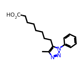 Cc1nnn(-c2ccccc2)c1CCCCCCCC(=O)O